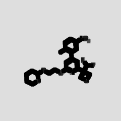 Cc1ccc([N+](=O)[O-])cc1-c1cc(OCCOC2CCCCO2)nc(C2(C(F)F)COC2)c1